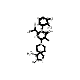 Cc1c(N2CCC3(CC2)CO[C@@H](C)[C@H]3N)nc(C(F)F)n(-c2cccc(Cl)c2Cl)c1=O